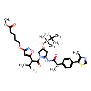 COC(=O)CCCCOc1cc(C(C(=O)N2C[C@H](O[Si](C)(C)C(C)(C)C)C[C@H]2NC(=O)[C@@H](C)c2ccc(-c3scnc3C)cc2)C(C)C)on1